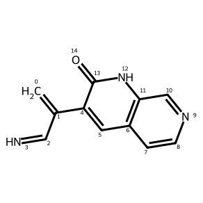 C=C(C=N)c1cc2ccncc2[nH]c1=O